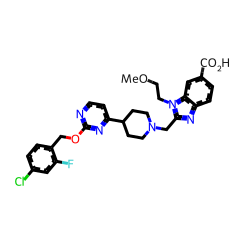 COCCn1c(CN2CCC(c3ccnc(OCc4ccc(Cl)cc4F)n3)CC2)nc2ccc(C(=O)O)cc21